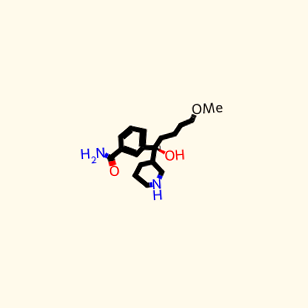 COCCCC[C@@](O)(c1cccc(C(N)=O)c1)C1CCCNC1